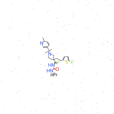 CCCNC(=O)N[C@H](F)C1(CCc2ccc(F)s2)CCN(C(C)(C)c2ccc(C)nc2)C1